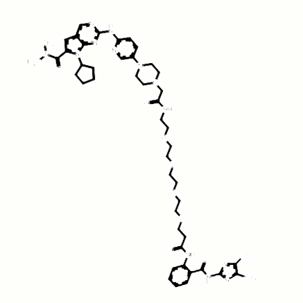 Cc1nc(NC(=O)c2ccccc2NC(=O)CCOCCOCCOCCOCCNC(=O)CN2CCN(c3ccc(Nc4ncc5cc(C(=O)N(C)C)n(C6CCCC6)c5n4)nc3)CC2)sc1C